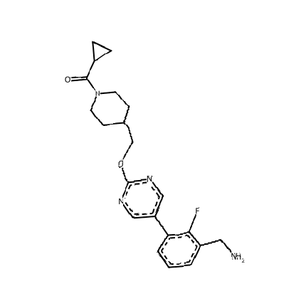 NCc1cccc(-c2cnc(OCC3CCN(C(=O)C4CC4)CC3)nc2)c1F